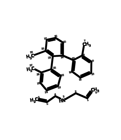 C=CCNCC=C.Cc1ccccc1-c1cccc(C)c1-c1ccccc1C